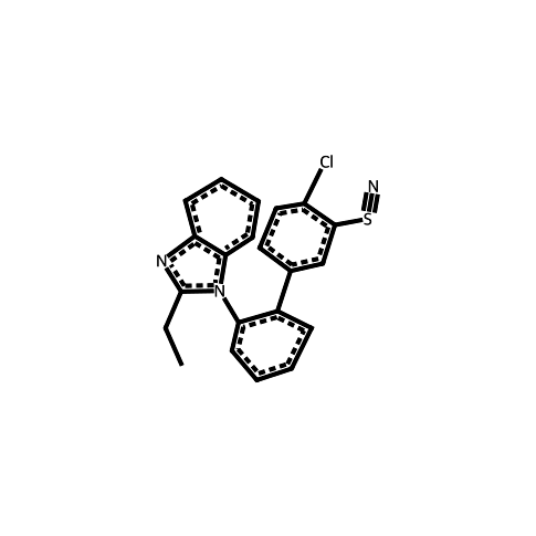 CCc1nc2ccccc2n1-c1ccccc1-c1ccc(Cl)c(S#N)c1